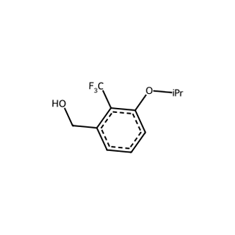 CC(C)Oc1cccc(CO)c1C(F)(F)F